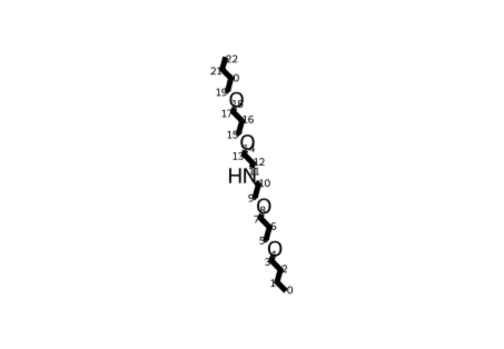 CCCCOCCCOCCNCCOCCCOCCCC